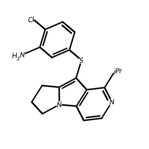 CC(C)c1nccc2c1c(Sc1ccc(Cl)c(N)c1)c1n2CCC1